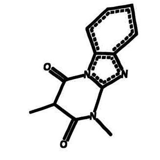 CC1C(=O)N(C)c2nc3ccccc3n2C1=O